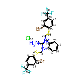 Nc1n(CSc2ccc(C(F)(F)F)cc2Br)c2ccccc2[n+]1CSc1ccc(C(F)(F)F)cc1Br.[Cl-]